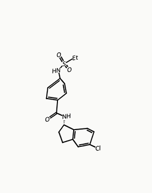 CCS(=O)(=O)Nc1ccc(C(=O)N[C@H]2CCc3cc(Cl)ccc32)cc1